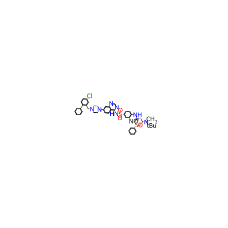 CN(C(=O)C[C@H](CSc1ccccc1)Nc1ccc(S(=O)(=O)Nc2ncnc3cc(N4CCN(Cc5cc(Cl)ccc5-c5ccccc5)CC4)ccc23)cc1[N+](=O)[O-])C(C)(C)C